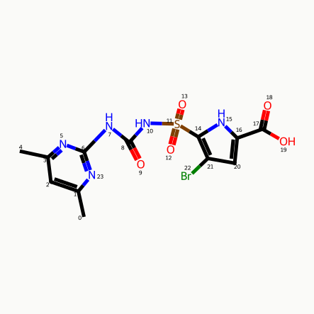 Cc1cc(C)nc(NC(=O)NS(=O)(=O)c2[nH]c(C(=O)O)cc2Br)n1